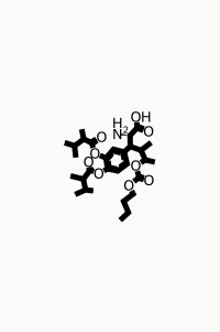 CCCCOC(=O)OC(C)C(C)C(c1ccc(OC(=O)C(C)C(C)C)c(OC(=O)C(C)C(C)C)c1)[C@H](N)C(=O)O